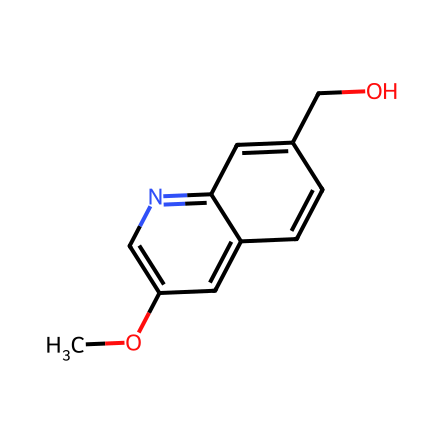 COc1cnc2cc(CO)ccc2c1